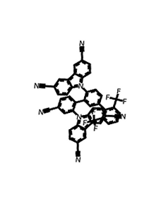 N#Cc1ccc(-c2cc(-c3c(C(F)(F)F)cccc3C(F)(F)F)ccc2-n2c3ccc(C#N)cc3c3cc(C#N)ccc32)c(-n2c3ccc(C#N)cc3c3cc(C#N)ccc32)c1